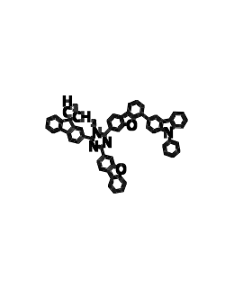 CC1(C)c2ccccc2-c2ccc(-c3nc(-c4ccc5c(c4)oc4ccccc45)nc(-c4ccc5c(c4)oc4c(-c6ccc7c(c6)c6ccccc6n7-c6ccccc6)cccc45)n3)cc21